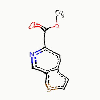 COC(=O)c1cc2ccsc2cn1